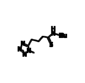 CCC(C)NC(=S)CCCc1nnnn1C